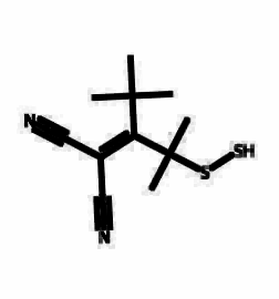 CC(C)(C)C(=C(C#N)C#N)C(C)(C)SS